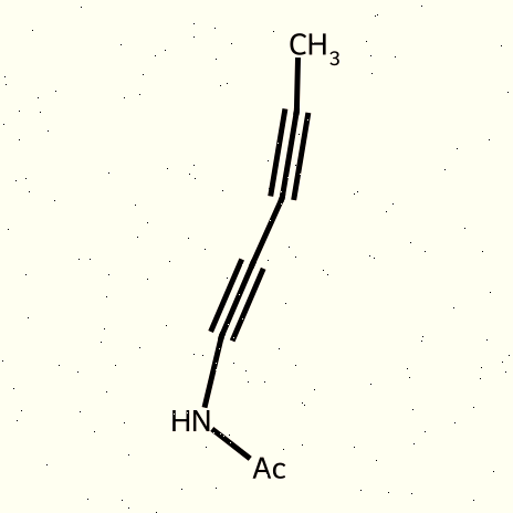 CC#CC#CNC(C)=O